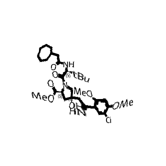 COC(=O)[C@@H]1C[C@](O)(CC(=N)c2cc(Cl)c(OC)cc2OC)CN1C(=O)[C@@H](NC(=O)CC1CCCCCC1)C(C)(C)C